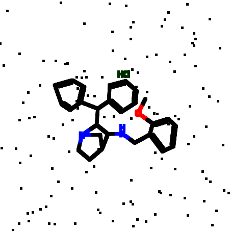 COc1ccccc1CNC1C2CCN(C2)C1C(c1ccccc1)c1ccccc1.Cl